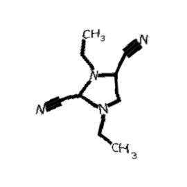 CCN1CC(C#N)N(CC)C1C#N